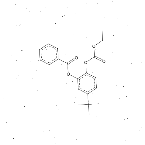 CCOC(=O)Oc1ccc(C(C)(C)C)cc1OC(=O)c1ccccc1